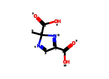 CC1(C(=O)O)N=CC(C(=O)O)=N1